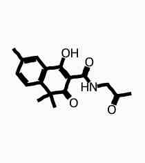 CC(=O)CNC(=O)C1=C(O)c2cc(C)ccc2C(C)(C)C1=O